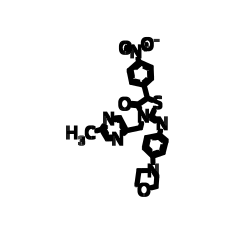 Cc1cnc(CN2C(=O)C(c3ccc([N+](=O)[O-])cc3)S/C2=N/c2ccc(N3CCOCC3)cc2)cn1